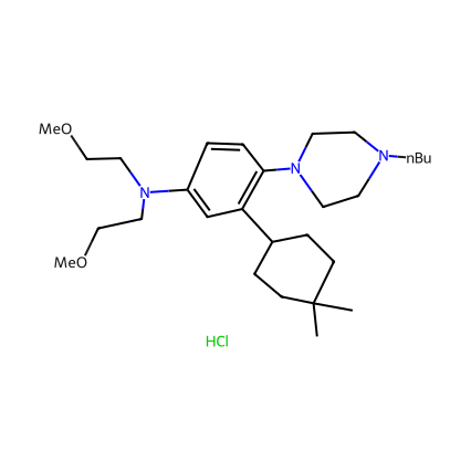 CCCCN1CCN(c2ccc(N(CCOC)CCOC)cc2C2CCC(C)(C)CC2)CC1.Cl